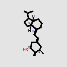 C=C1[C@H](C)C/C(=C/C=C2\CCC[C@@H]3C(C(C)C)CC[C@@H]23)C[C@H]1O